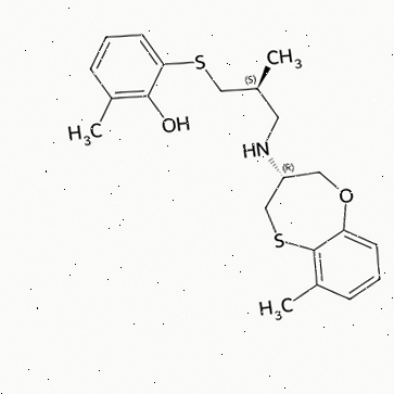 Cc1cccc(SC[C@@H](C)CN[C@@H]2COc3cccc(C)c3SC2)c1O